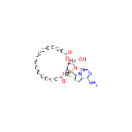 N#C[C@@]1(c2ccc3c(N)ncnn23)O[C@H](CO)[C@H]2OC(=O)CCCCCCCCCCCCCCC(=O)O[C@H]21